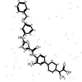 CC(C(=O)O)C1CCC(c2ccc(NC(=O)c3nnc(Nc4cccc(OCc5ccccc5)c4)o3)c(N)c2)CC1